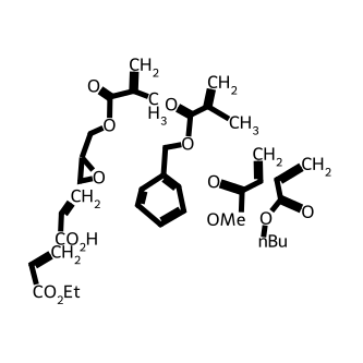 C=C(C)C(=O)OCC1CO1.C=C(C)C(=O)OCc1ccccc1.C=CC(=O)O.C=CC(=O)OC.C=CC(=O)OCC.C=CC(=O)OCCCC